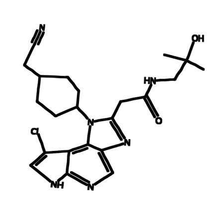 CC(C)(O)CNC(=O)Cc1nc2cnc3[nH]cc(Cl)c3c2n1C1CCC(CC#N)CC1